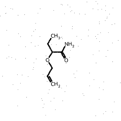 C=CCOC(CC)C(N)=O